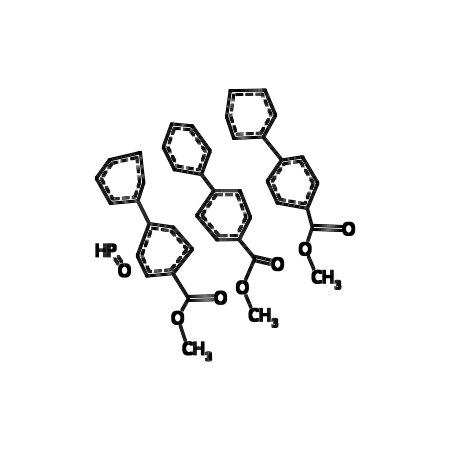 COC(=O)c1ccc(-c2ccccc2)cc1.COC(=O)c1ccc(-c2ccccc2)cc1.COC(=O)c1ccc(-c2ccccc2)cc1.O=P